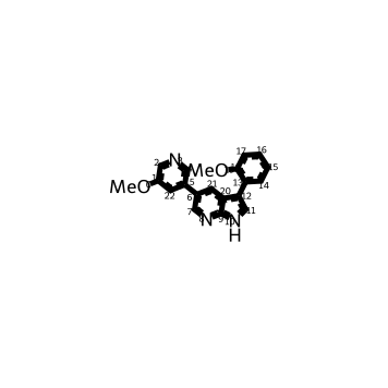 COc1cncc(-c2cnc3[nH]cc(-c4ccccc4OC)c3c2)c1